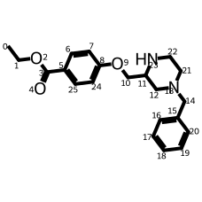 CCOC(=O)c1ccc(OCC2CN(Cc3ccccc3)CCN2)cc1